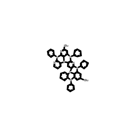 CC(C)(C)c1cc2c3c(c1)N(c1ccccc1)c1nc4c(cc1B3c1ccccc1N2c1ccccc1)B1c2cccnc2N(c2ccccc2)c2nc(C(C)(C)C)cc(c21)N4c1ccccc1